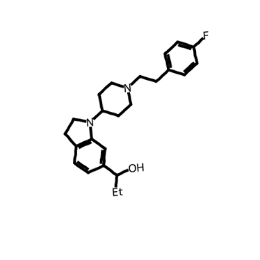 CCC(O)c1ccc2c(c1)N(C1CCN(CCc3ccc(F)cc3)CC1)CC2